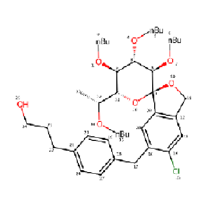 CCCCO[C@H]1[C@H](OCCCC)[C@@H](OCCCC)[C@@]2(OCc3cc(Cl)c(Cc4ccc(CCCO)cc4)cc32)O[C@@H]1[C@@H](C)OCCCC